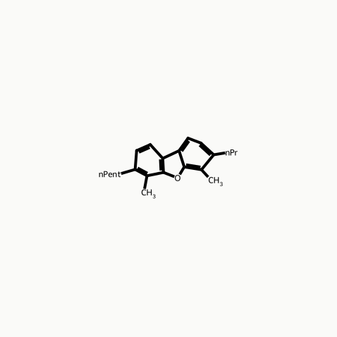 CCCCCc1ccc2c(oc3c(C)c(CCC)ccc32)c1C